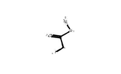 [2H]OC(=O)CI